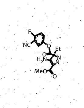 CCC1(C(=O)Oc2ccc(F)c(C#N)c2)N=NC(C(=O)OC)=C1N